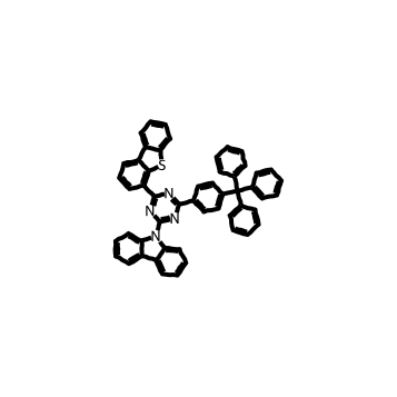 c1ccc(C(c2ccccc2)(c2ccccc2)c2ccc(-c3nc(-c4cccc5c4sc4ccccc45)nc(-n4c5ccccc5c5ccccc54)n3)cc2)cc1